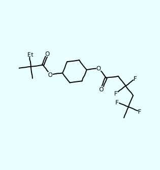 CCC(C)(C)C(=O)OC1CCC(OC(=O)CC(F)(F)CC(C)(F)F)CC1